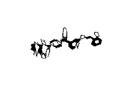 O=C(Nc1nccnc1Cl)N1CCN(C(=O)c2ccnc(OCCc3ccccc3Cl)c2)CC1